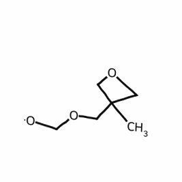 CC1(COC[O])COC1